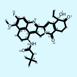 CC[C@@]1(O)C(=O)CCc2c1cc1n(c2=O)Cc2c-1nc1cc(F)c(OC)c3c1c2[C@@H](NC(=O)CC(C)(C)C)CC3